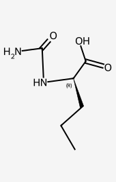 CCC[C@@H](NC(N)=O)C(=O)O